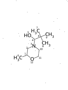 CC1CN(C(O)C(C)(C)C)CCO1